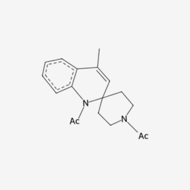 CC(=O)N1CCC2(C=C(C)c3ccccc3N2C(C)=O)CC1